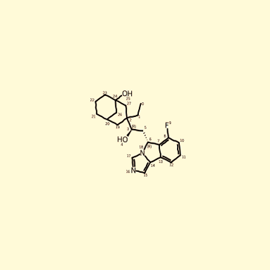 CCC1([C@H](O)C[C@@H]2c3c(F)cccc3-c3cncn32)CC2CCCC(O)(C2)C1